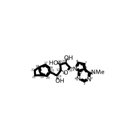 CNc1ncnc2c1ccn2[C@@H]1O[C@H]([C@H](O)c2ccc3c(c2)CC3)[C@@H](O)[C@H]1O